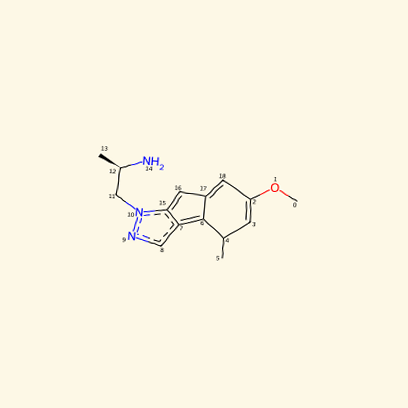 COC1=CC(C)C2=c3cnn(C[C@@H](C)N)c3=CC2=C1